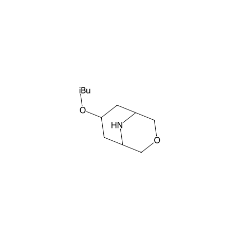 CCC(C)OC1CC2COCC(C1)N2